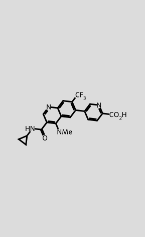 CNc1c(C(=O)NC2CC2)cnc2cc(C(F)(F)F)c(-c3ccc(C(=O)O)nc3)cc12